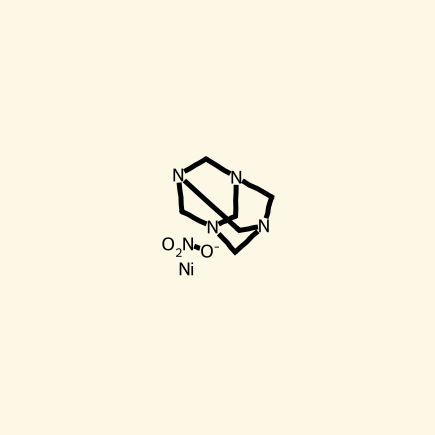 C1N2CN3CN1CN(C2)C3.O=[N+]([O-])[O-].[Ni]